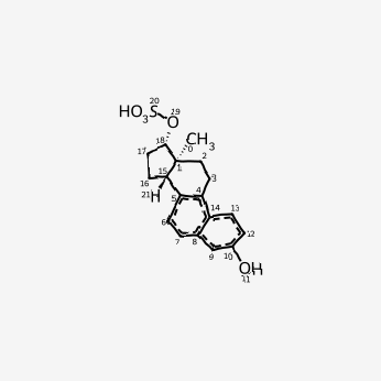 C[C@]12CCc3c(ccc4cc(O)ccc34)[C@@H]1CC[C@@H]2OS(=O)(=O)O